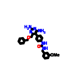 COc1cccc(CNC(=O)Nc2ccc(-c3c(N)nc(N)nc3COCc3ccccc3)cc2)c1